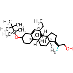 CC[C@@H]1C=C2CC(O[Si](C)(C)C(C)(C)C)CC[C@]2(C)[C@H]2CC[C@]3(C)C(=C(F)CO)CC[C@H]3[C@H]12